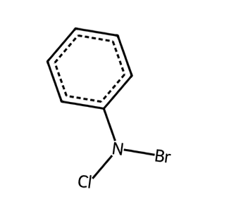 ClN(Br)c1ccccc1